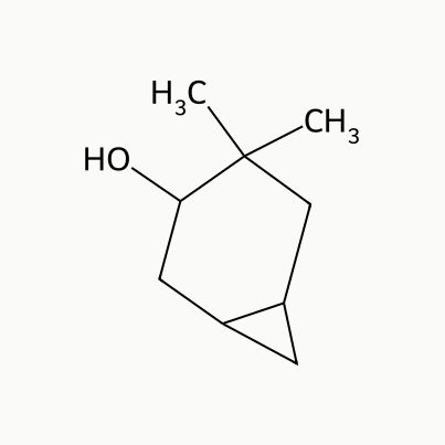 CC1(C)CC2CC2CC1O